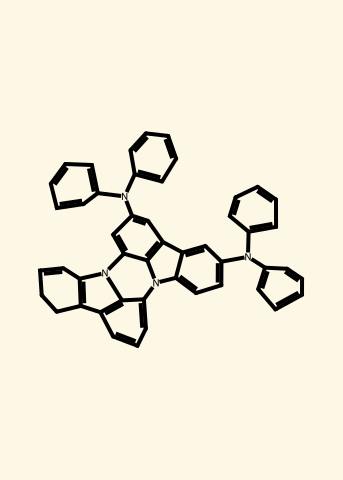 C1=Cc2c(c3cccc4c3n2c2cc(N(c3ccccc3)c3ccccc3)cc3c5cc(N(c6ccccc6)c6ccccc6)ccc5n4c32)CC1